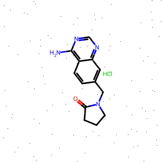 Cl.Nc1ncnc2cc(CN3CCCC3=O)ccc12